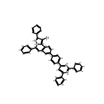 CCc1c(-c2ccccc2)nn2c(-c3ccccc3)cc3cc(-c4ccc(-c5cc(-c6ccccc6)nc(-c6ccccc6)n5)cc4)ccc3c12